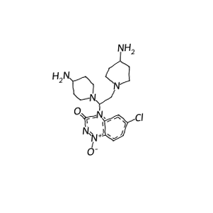 NC1CCN(CC(N2CCC(N)CC2)n2c(=O)n[n+]([O-])c3ccc(Cl)cc32)CC1